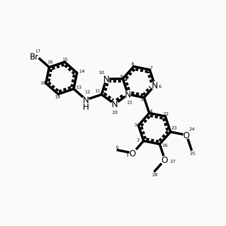 COc1cc(-c2nccc3nc(Nc4ccc(Br)cc4)nn23)cc(OC)c1OC